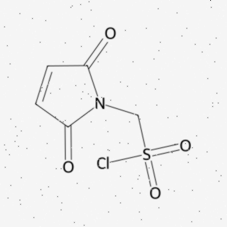 O=C1C=CC(=O)N1CS(=O)(=O)Cl